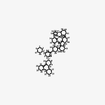 c1ccc(-c2cc(-c3ccc4c5ccccc5c5ccccc5c4c3)nc(-c3cccc(-c4cccc5c4-n4c6ccccc6c6cccc(c64)C54c5ccccc5-c5ccccc54)c3)n2)cc1